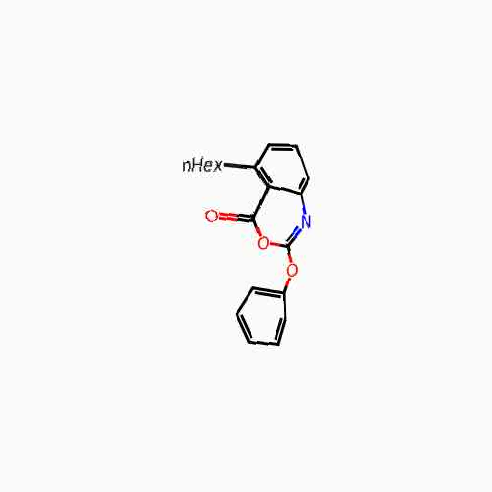 CCCCCCc1cccc2nc(Oc3ccccc3)oc(=O)c12